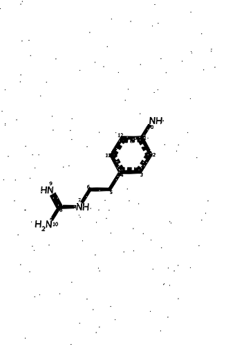 [NH]c1ccc(CCNC(=N)N)cc1